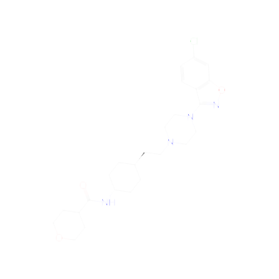 O=C(N[C@H]1CC[C@H](CCN2CCN(c3noc4cc(Cl)ccc34)CC2)CC1)C1CCOCC1